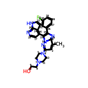 Cc1cc(N2CCN(CCO)CC2)nn2c(-c3ccnc4[nH]ccc34)c(-c3cccc(F)c3)nc12